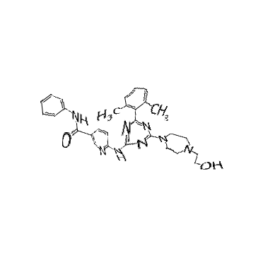 Cc1cccc(C)c1-c1nc(Nc2ccc(C(=O)Nc3ccccc3)cn2)nc(N2CCN(CCO)CC2)n1